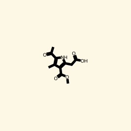 COC(=O)c1c(CC(=O)O)[nH]c(C(C)=O)c1C